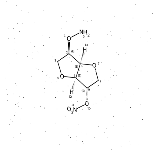 NO[C@@H]1CO[C@H]2[C@@H]1OC[C@@H]2O[N+](=O)[O-]